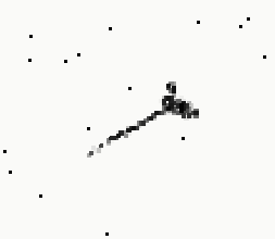 CCCCCCCCCCC=CCCCCCCc1ccc(I=O)c(OP(=O)(O)O)c1